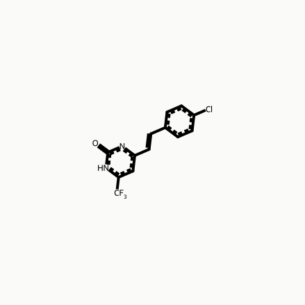 O=c1nc(/C=C/c2ccc(Cl)cc2)cc(C(F)(F)F)[nH]1